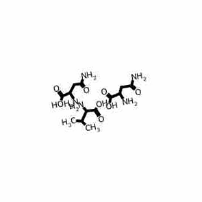 CC(C)C(N)C(=O)O.NC(=O)CC(N)C(=O)O.NC(=O)CC(N)C(=O)O